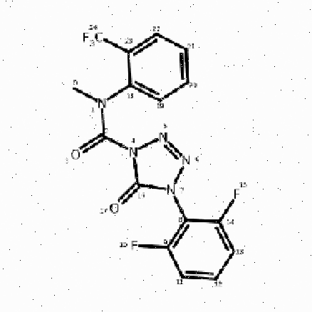 CN(C(=O)n1nnn(-c2c(F)cccc2F)c1=O)c1ccccc1C(F)(F)F